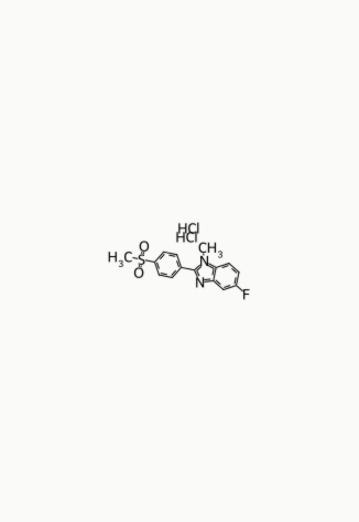 Cl.Cl.Cn1c(-c2ccc(S(C)(=O)=O)cc2)nc2cc(F)ccc21